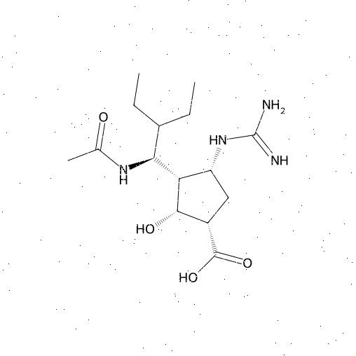 CCC(CC)[C@H](NC(C)=O)[C@H]1[C@@H](O)[C@@H](C(=O)O)C[C@H]1NC(=N)N